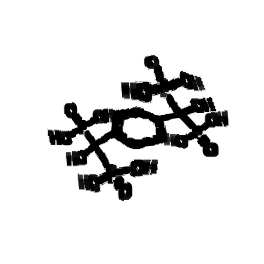 O=P(O)(O)C(O)(c1ccc(C(O)(P(=O)(O)O)P(=O)(O)O)cc1)P(=O)(O)O